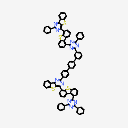 c1ccc(-c2nc(-c3ccccc3)nc(-c3cccc4sc5c(-c6nc(-c7ccc(-c8ccc(-c9cccc(-c%10nc(-c%11ccccc%11)nc(-c%11cccc%12sc%13c(-c%14nc(-c%15ccccc%15)nc%15c%14sc%14ccccc%14%15)cccc%13c%11%12)n%10)c9)cc8)cc7)nc7c6sc6ccccc67)cccc5c34)n2)cc1